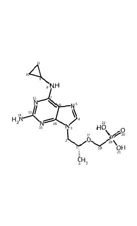 C[C@H](Cn1cnc2c(NC3CC3)nc(N)nc21)OCP(=O)(O)O